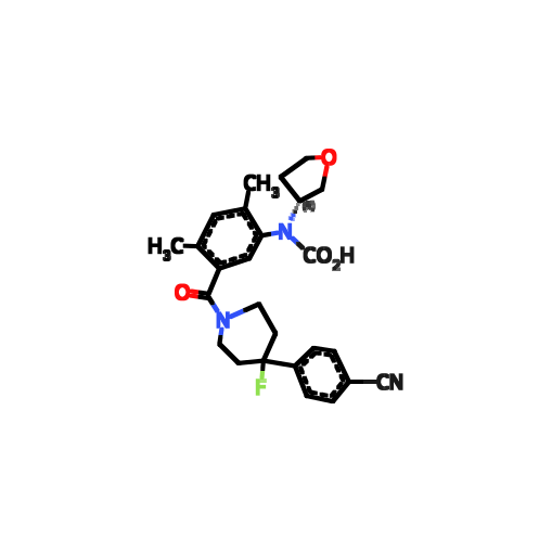 Cc1cc(C)c(N(C(=O)O)[C@@H]2CCOC2)cc1C(=O)N1CCC(F)(c2ccc(C#N)cc2)CC1